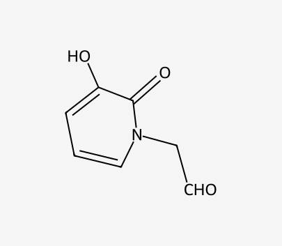 O=CCn1cccc(O)c1=O